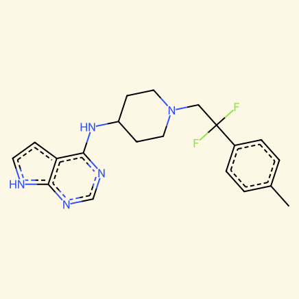 Cc1ccc(C(F)(F)CN2CCC(Nc3ncnc4[nH]ccc34)CC2)cc1